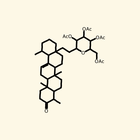 CC(=O)OCC1OC(CCC23CCCC(C)C2C2=CCC4C(C)(CCC5C(C)C(=O)CCC54C)C2CC3)C(OC(C)=O)C(OC(C)=O)C1OC(C)=O